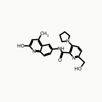 Cc1cc(O)nc2ccc(NC(=O)c3nc(CO)ccc3N3CCCC3)cc12